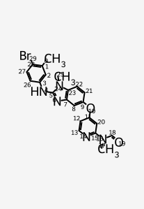 Cc1cc(Nc2nc3cc(Oc4ccnc(N(C)C=O)c4)ccc3n2C)ccc1Br